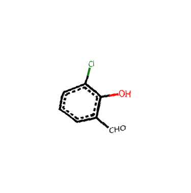 O=Cc1cccc(Cl)c1O